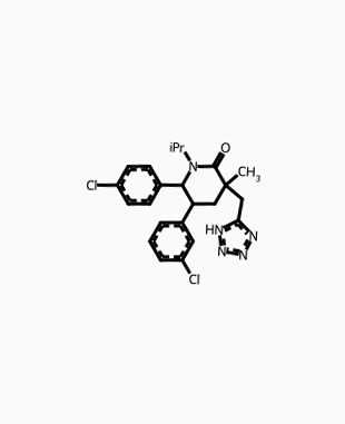 CC(C)N1C(=O)C(C)(Cc2nnn[nH]2)CC(c2cccc(Cl)c2)C1c1ccc(Cl)cc1